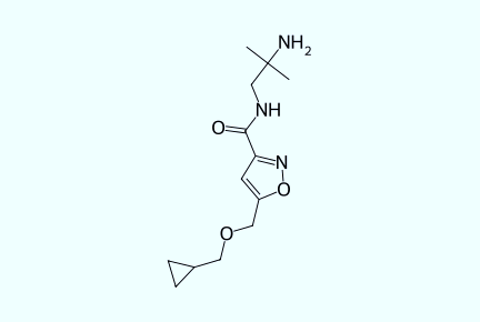 CC(C)(N)CNC(=O)c1cc(COCC2CC2)on1